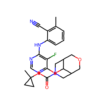 Cc1cccc(Nc2ncnc(OC3C4COCC3CN(C(=O)OC3(C)CC3)C4)c2F)c1C#N